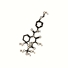 CCOc1ccc(NC(=O)N(C(=O)C(C)NC(=O)OC(C)(C)C)C2=CCCC(C)(C)C2)cc1